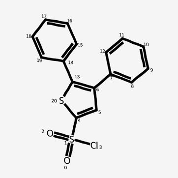 O=S(=O)(Cl)c1cc(-c2ccccc2)c(-c2ccccc2)s1